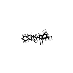 O=C(NC1CCS2(CCCCC2)CC1)c1cc2c(Cl)cc(Cl)cc2[nH]1